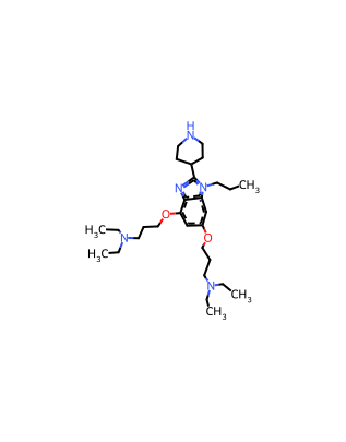 CCCn1c(C2CCNCC2)nc2c(OCCCN(CC)CC)cc(OCCCN(CC)CC)cc21